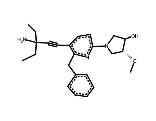 CCC(N)(C#Cc1ccc(N2C[C@@H](O)[C@H](OC)C2)nc1Cc1ccccc1)CC